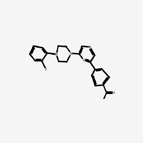 CC(=O)c1ccc(-c2cncc(N3CCN(c4ccccc4F)CC3)n2)cc1